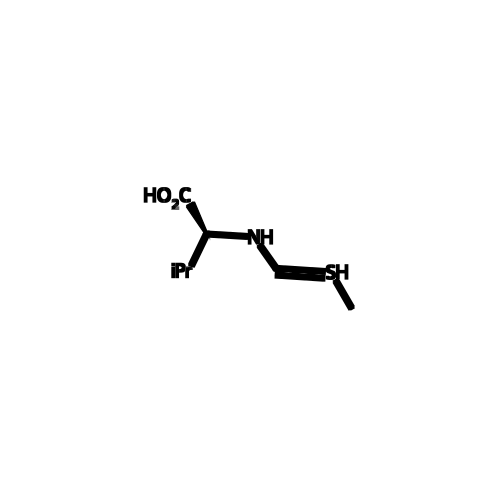 C[SH]=CN[C@H](C(=O)O)C(C)C